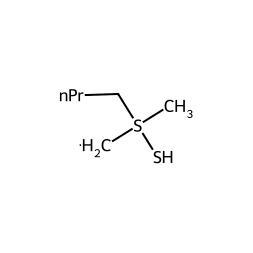 [CH2]S(C)(S)CCCC